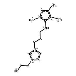 Cc1nn(C)c(NCCCn2cc[n+](CCO)c2)c1N